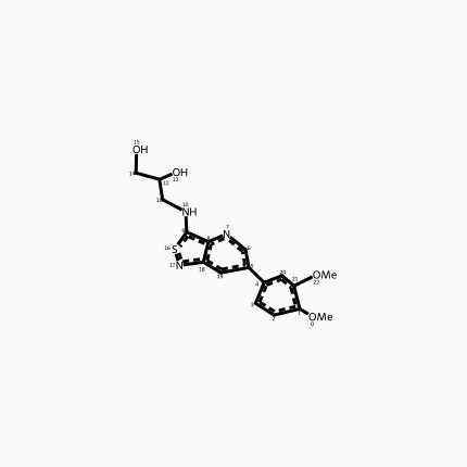 COc1ccc(-c2cnc3c(NCC(O)CO)snc3c2)cc1OC